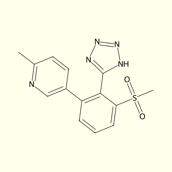 Cc1ccc(-c2cccc(S(C)(=O)=O)c2-c2nnn[nH]2)cn1